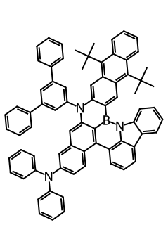 CC(C)(C)c1c2ccccc2c(C(C)(C)C)c2cc3c(cc12)B1c2c(cc4cc(N(c5ccccc5)c5ccccc5)ccc4c2-c2cccc4c5ccccc5n1c24)N3c1cc(-c2ccccc2)cc(-c2ccccc2)c1